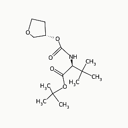 CC(C)(C)OC(=O)[C@@H](NC(=O)O[C@H]1CCOC1)C(C)(C)C